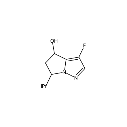 CC(C)C1CC(O)c2c(F)cnn21